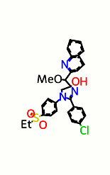 CCS(=O)(=O)c1ccc(N2CC(O)(C(OC)c3ccc4ccccc4n3)N=C2c2ccc(Cl)cc2)cc1